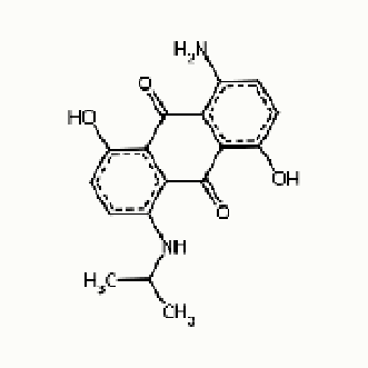 CC(C)Nc1ccc(O)c2c1C(=O)c1c(O)ccc(N)c1C2=O